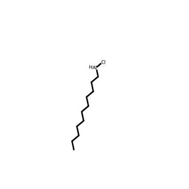 CCCCCCCCCC[CH2][AlH][Cl]